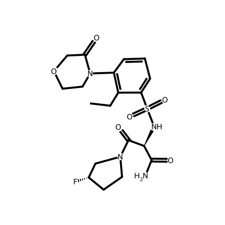 CCc1c(N2CCOCC2=O)cccc1S(=O)(=O)N[C@@H](C(N)=O)C(=O)N1CC[C@H](F)C1